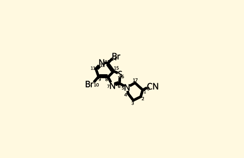 N#CC1CCCN(c2nc3c(Br)cnc(Br)c3s2)C1